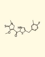 COC1=C(C(=O)C2NC=C(Cc3ccc(F)c(C)c3)S2)CN(C)C1=S